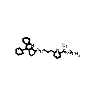 CO/N=C(\C)c1cccc(CCCO/N=C2\CCCc3c2nc2ccccc2c3-c2ccccc2)n1